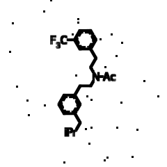 CC(=O)N(CCc1cccc(CC(C)C)c1)CCc1cccc(C(F)(F)F)c1